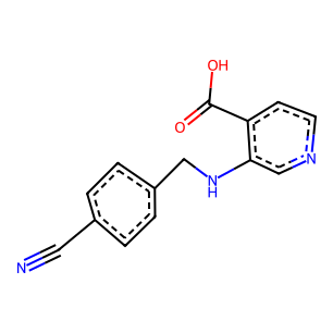 N#Cc1ccc(CNc2cnccc2C(=O)O)cc1